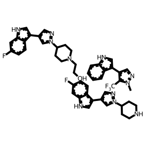 Cn1ncc(-c2c[nH]c3ccccc23)c1C(F)(F)F.Fc1ccc2c(-c3cnn(C4CCNCC4)c3)c[nH]c2c1.OCCN1CCC(n2cc(-c3c[nH]c4cc(F)ccc34)cn2)CC1